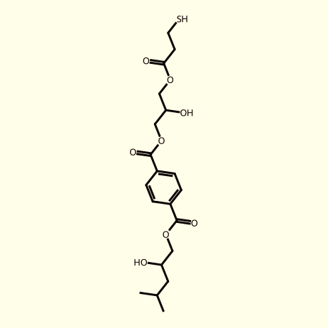 CC(C)CC(O)COC(=O)c1ccc(C(=O)OCC(O)COC(=O)CCS)cc1